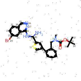 CN(Cc1ccccc1-c1csc([C@H](N)Nc2nncc3ccc(Br)cc23)c1)C(=O)OC(C)(C)C